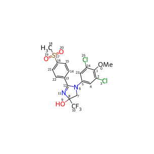 COc1c(Cl)cc(N2CC(O)(C(F)(F)F)N=C2c2ccc(S(C)(=O)=O)cc2)cc1Cl